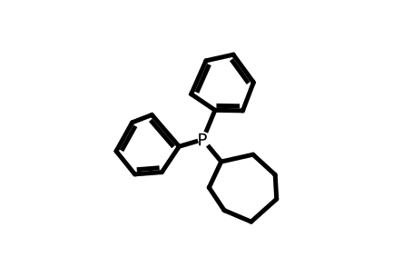 c1ccc(P(c2ccccc2)C2CCCCCC2)cc1